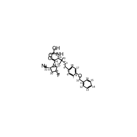 CC(C)(SCc1ccc(OCc2ccccc2)cc1)[C@H](NC(=O)O)C(=O)N1C[C@@H](F)C[C@H]1C#N